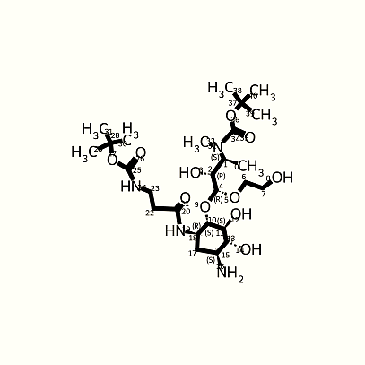 C[C@@H]([C@@H](O)[C@H](OCCO)O[C@@H]1[C@@H](O)[C@H](O)[C@@H](N)C[C@H]1NC(=O)CCNC(=O)OC(C)(C)C)N(C)C(=O)OC(C)(C)C